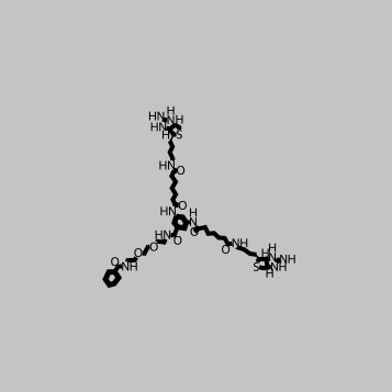 N=C1N[C@H]2[C@H](CS[C@H]2CCCCNC(=O)CCCCCC(=O)Nc2cc(NC(=O)CCCCCC(=O)NCCCC[C@@H]3SC[C@@H]4NC(=N)N[C@@H]43)cc(C(=O)NCCOCCOCCNC(=O)c3ccccc3)c2)N1